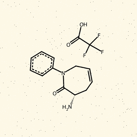 N[C@H]1CC=CCN(c2ccccc2)C1=O.O=C(O)C(F)(F)F